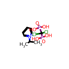 CC(C)[n+]1ccccc1.O=P(O)(O)C(Cl)(Cl)P(=O)(O)O